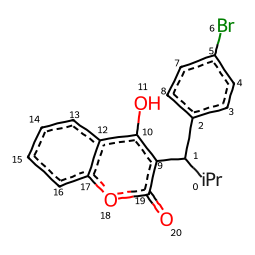 CC(C)C(c1ccc(Br)cc1)c1c(O)c2ccccc2oc1=O